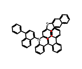 c1ccc(-c2ccc(N(c3ccc4c(c3)sc3cc5ccccc5cc34)c3ccccc3-c3cc4ccccc4c4ccccc34)c3ccccc23)cc1